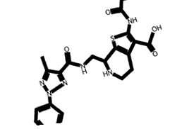 Cc1nn(-c2ccccc2)nc1C(=O)NCC1NCCc2c1sc(NC(=O)C(=O)O)c2C(=O)O